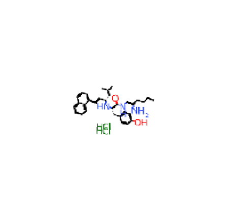 CCCC[C@H](N)CNC(=O)[C@H](Cc1ccc(O)cc1)N[C@H](/C=C/c1cccc2ccccc12)CC(C)C.Cl.Cl